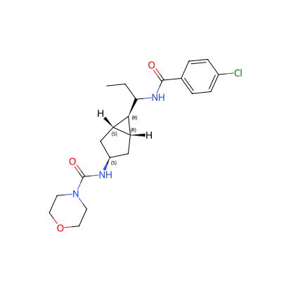 CCC(NC(=O)c1ccc(Cl)cc1)[C@H]1[C@@H]2C[C@@H](NC(=O)N3CCOCC3)C[C@@H]21